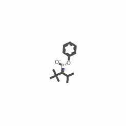 CC(C)/C(=[P+](/[O-])Oc1ccccc1)C(C)(C)C